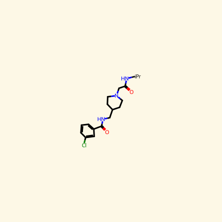 CC(C)NC(=O)CN1CCC(CNC(=O)c2cccc(Cl)c2)CC1